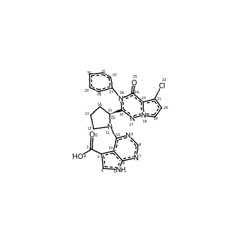 O=C(O)c1c[nH]c2ncnc(N3CCC[C@H]3c3nn4ccc(Cl)c4c(=O)n3-c3ccccc3)c12